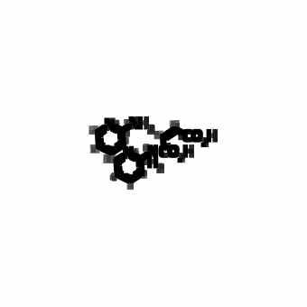 Nc1ccccn1.Nc1ccccn1.O=C(O)/C=C\C(=O)O